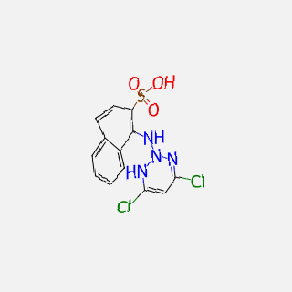 O=S(=O)(O)c1ccc2ccccc2c1NN1N=C(Cl)C=C(Cl)N1